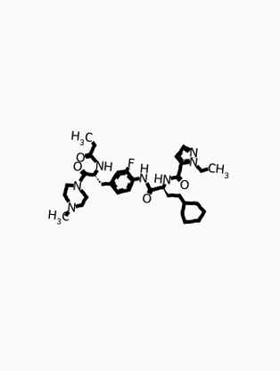 CCC(=O)N[C@H](Cc1ccc(NC(=O)[C@H](CCC2CCCCC2)NC(=O)c2ccnn2CC)c(F)c1)C(=O)N1CCN(C)CC1